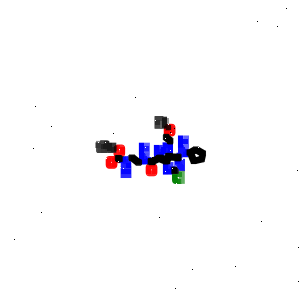 CCOCCn1nc(C(=O)NCCNC(=O)OC(C)(C)C)c2nc(Cl)nc(NC3CCCC3)c21